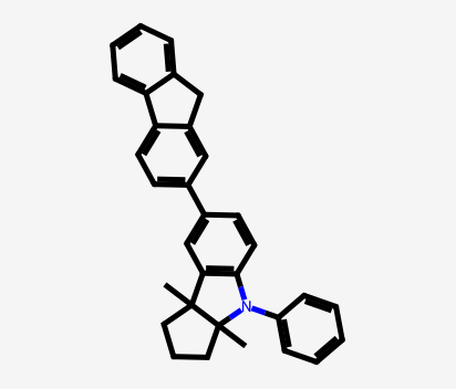 CC12CCCC1(C)N(c1ccccc1)c1ccc(-c3ccc4c(c3)Cc3ccccc3-4)cc12